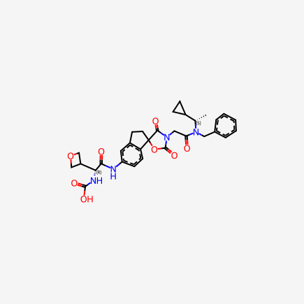 C[C@@H](C1CC1)N(Cc1ccccc1)C(=O)CN1C(=O)OC2(CCc3cc(NC(=O)[C@H](NC(=O)O)C4COC4)ccc32)C1=O